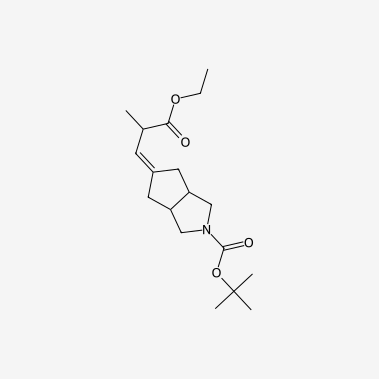 CCOC(=O)C(C)C=C1CC2CN(C(=O)OC(C)(C)C)CC2C1